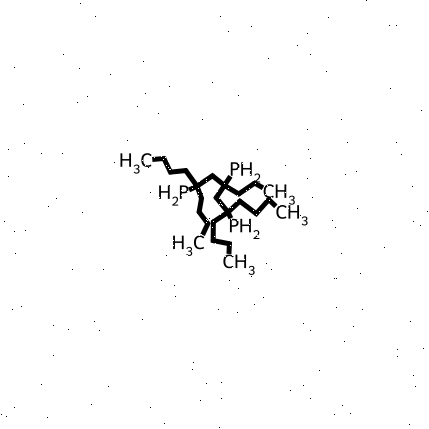 CCCCC(P)(CCCC)CC(P)(CCC)CC(P)(CCCC)CCCC